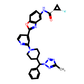 Cc1nnn(C(c2ccccc2)C2CCN(c3cc(-c4nc5cc(NC(=O)[C@@H]6C[C@@H]6F)ccc5o4)ccn3)CC2)n1